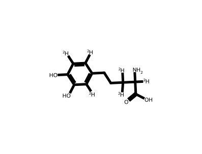 [2H]c1c([2H])c(CCC([2H])([2H])C([2H])(N)C(=O)O)c([2H])c(O)c1O